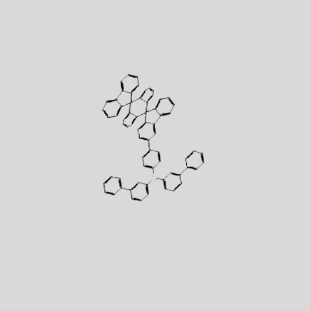 c1ccc(-c2cccc(N(c3ccc(-c4ccc5c(c4)-c4ccccc4C54c5ccccc5C5(c6ccccc6-c6ccccc65)c5ccccc54)cc3)c3cccc(-c4ccccc4)c3)c2)cc1